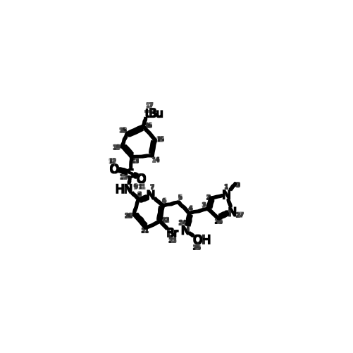 Cn1cc(C(Cc2nc(NS(=O)(=O)c3ccc(C(C)(C)C)cc3)ccc2Br)=NO)cn1